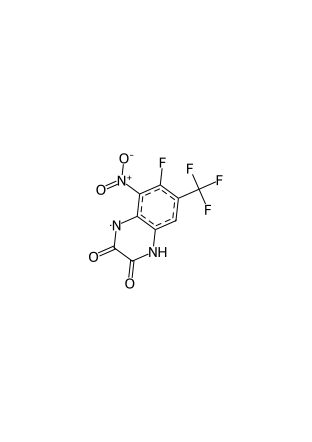 O=C1[N]c2c(cc(C(F)(F)F)c(F)c2[N+](=O)[O-])NC1=O